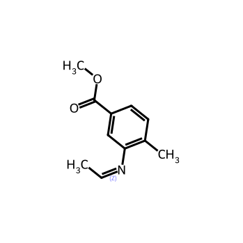 C/C=N\c1cc(C(=O)OC)ccc1C